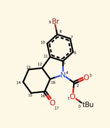 CC(C)(C)OC(=O)N1c2ccc(Br)cc2C2CCCC(=O)C21